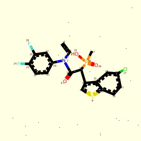 C=CN(C(=O)C(c1csc2ccc(Cl)cc12)P(C)(=O)O)c1ccc(F)c(F)c1